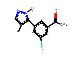 CCn1ncc(C)c1-c1cc(F)cc(C(=O)OC)c1